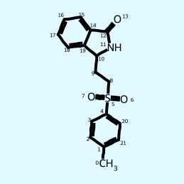 Cc1ccc(S(=O)(=O)CCC2NC(=O)c3ccccc32)cc1